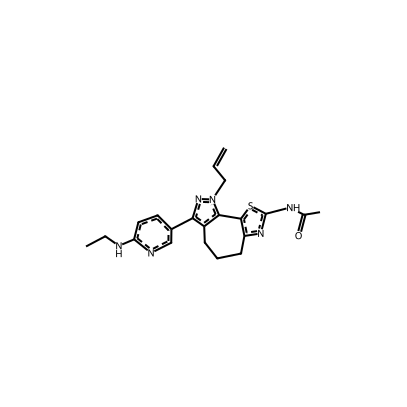 C=CCn1nc(-c2ccc(NCC)nc2)c2c1-c1sc(NC(C)=O)nc1CCC2